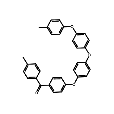 Cc1ccc(Oc2ccc(Oc3ccc(Oc4ccc(C(=O)c5ccc(C)cc5)cc4)cc3)cc2)cc1